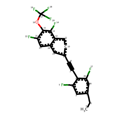 CCc1cc(F)c(C#Cc2ccc3c(F)c(OC(F)(F)F)c(F)cc3c2)c(F)c1